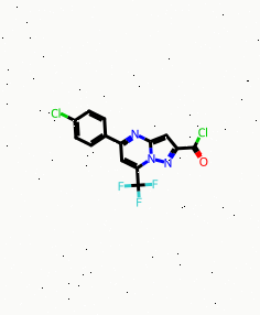 O=C(Cl)c1cc2nc(-c3ccc(Cl)cc3)cc(C(F)(F)F)n2n1